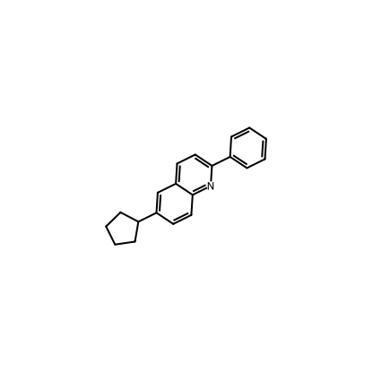 c1ccc(-c2ccc3cc(C4CCCC4)ccc3n2)cc1